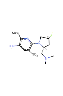 COc1nc(N2C[C@@H](F)C[C@@H]2CN(C)C)c([N+](=O)[O-])cc1N